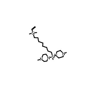 C=C[Si](C)(C)CCCCCCCC[Si](C)(N1CCN(C)CC1)N1CCN(C)CC1